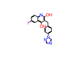 Oc1nc2ccc(I)cc2c(O)c1Cc1ccc(-n2cncn2)cc1